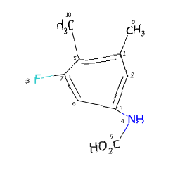 Cc1cc(NC(=O)O)cc(F)c1C